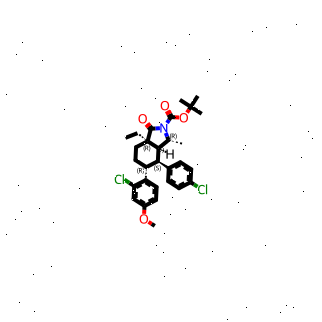 CC[C@@]12CC[C@@H](c3ccc(OC)cc3Cl)[C@H](c3ccc(Cl)cc3)[C@@H]1[C@@H](C)N(C(=O)OC(C)(C)C)C2=O